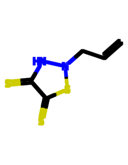 C=CCn1[nH]c(=S)c(=S)s1